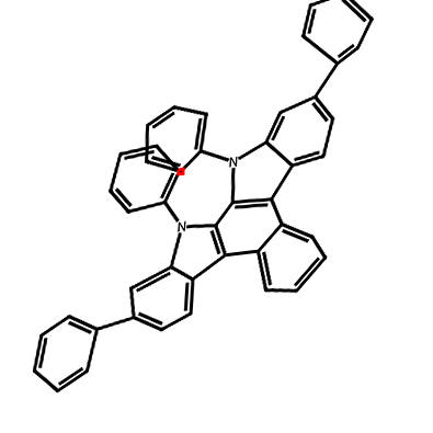 c1ccc(-c2ccc3c4c5ccccc5c5c6ccc(-c7ccccc7)cc6n(-c6ccccc6)c5c4n(-c4ccccc4)c3c2)cc1